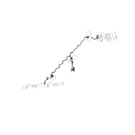 CCCCCC(CCCCC)CCOC(=O)CCCCCCCCCC(CCCCCCCCCC(=O)OCCC(CCCCC)CCCCC)C(=O)OCCCN(C)C